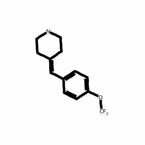 FC(F)(F)Oc1ccc(C=C2CC[N]CC2)cc1